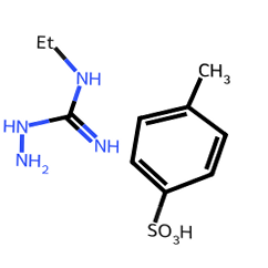 CCNC(=N)NN.Cc1ccc(S(=O)(=O)O)cc1